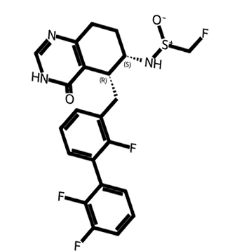 O=c1[nH]cnc2c1[C@@H](Cc1cccc(-c3cccc(F)c3F)c1F)[C@@H](N[S+]([O-])CF)CC2